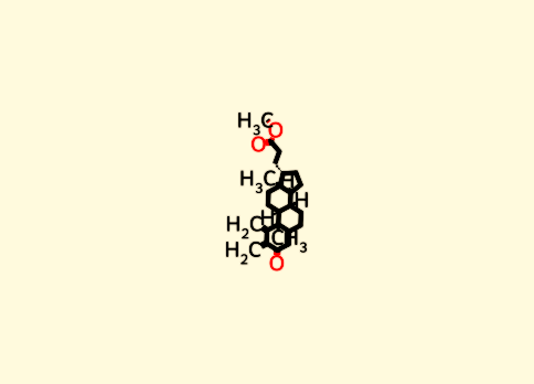 C=C1C(=C)[C@@]2(C)C(=CC1=O)CC[C@@H]1[C@@H]2CC[C@]2(C)[C@H](CCC(=O)OC)CC[C@@H]12